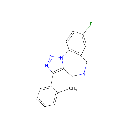 Cc1ccccc1-c1nnn2c1CNCc1cc(F)ccc1-2